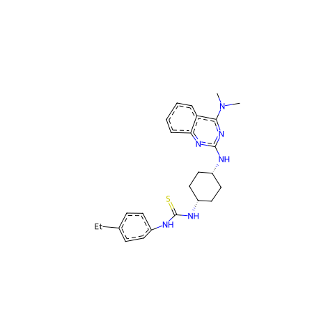 CCc1ccc(NC(=S)N[C@H]2CC[C@@H](Nc3nc(N(C)C)c4ccccc4n3)CC2)cc1